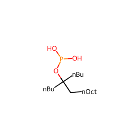 CCCCCCCCCC(CCCC)(CCCC)OP(O)O